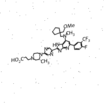 COCC1(CN(C)c2cc(-c3ccc(F)c(C(F)(F)F)c3)nc3nc(-c4cnc(N5CCN(CCC(=O)O)C[C@H]5C)cn4)[nH]c23)CCCC1